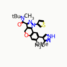 COc1cc2c(cc1-c1c[nH]nc1C)-c1c(c(C(=O)N(C)C(C)(C)C)nn1-c1ccsc1)CO2